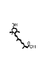 CC1=C(/C=C/C(C)=C/C=C/C(C)=C\C(=O)O)C(C)(C)CC(O)C1